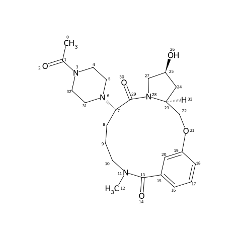 CC(=O)N1CCN([C@H]2CCCN(C)C(=O)c3cccc(c3)OC[C@@H]3C[C@H](O)CN3C2=O)CC1